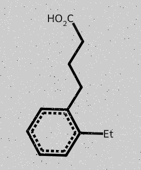 CCc1c[c]ccc1CCCC(=O)O